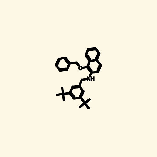 CC(C)(C)c1cc(CNc2ccc3ccccc3c2OCc2ccccc2)cc(C(C)(C)C)c1